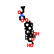 C[C@@H]1C[C@H](CO)O[C@H]2[C@H]1[C@@]1(C)CC[C@@]34CC35CCC(O[C@H]3CN(C(=O)CC6CC6)CCO3)C(C)(C)[C@@H]5CC[C@H]4[C@]1(C)[C@H]2O